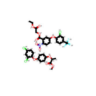 CCOC(=O)COC(=O)c1cc(Oc2ccc(C(F)(F)F)cc2Cl)ccc1[N+](=O)[O-].COC(=O)C(C)Oc1ccc(Oc2ccc(Cl)cc2Cl)cc1